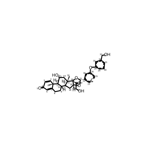 C[C@]12C=CC(=O)C=C1CC[C@@H]1[C@@H]2[C@@H](O)C[C@@]2(C)[C@H]1C[C@H]1O[C@@H](c3cccc(Oc4cccc(CO)c4)c3)O[C@]12C(=O)CO